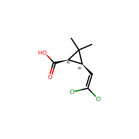 CC1(C)[C@H](C(=O)O)[C@@H]1C=C(Cl)Cl